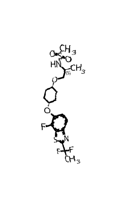 C[C@@H](CO[C@H]1CC[C@H](Oc2ccc3nc(C(C)(F)F)sc3c2F)CC1)NS(C)(=O)=O